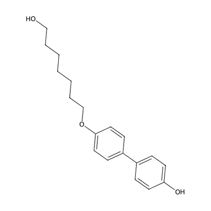 OCCCCCCCOc1ccc(-c2ccc(O)cc2)cc1